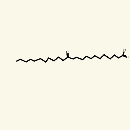 CCCCCCCCCCCC(=O)CCCCCCCCCCCC(=O)Cl